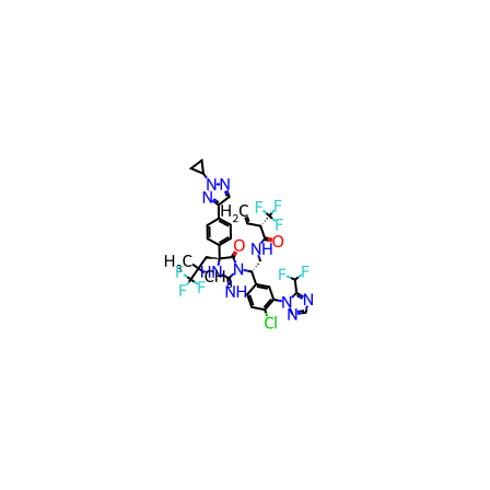 C=C[C@@H](C(=O)NC[C@H](c1ccc(Cl)c(-n2ncnc2C(F)F)c1)N1C(=N)N[C@](CC(C)(C)C(F)(F)F)(c2ccc(-c3cnn(C4CC4)n3)cc2)C1=O)C(F)(F)F